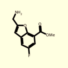 COC(=O)c1cc(F)cc2cc(CN)oc12